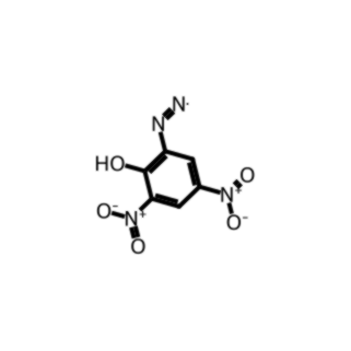 [N]=Nc1cc([N+](=O)[O-])cc([N+](=O)[O-])c1O